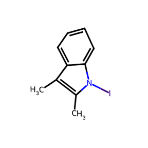 Cc1c(C)n(I)c2ccccc12